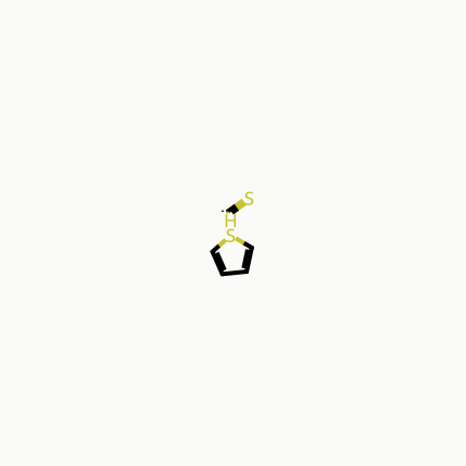 S=[C][SH]1C=CC=C1